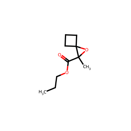 CCCOC(=O)C1(C)OC12CCC2